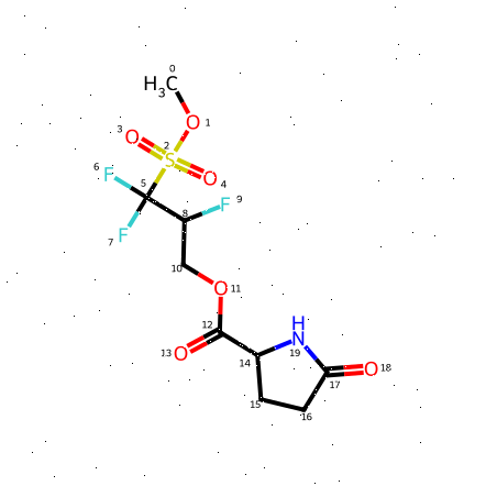 COS(=O)(=O)C(F)(F)C(F)COC(=O)C1CCC(=O)N1